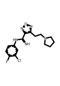 N=C(Nc1ccc(F)c(Cl)c1)c1nonc1CCN1CCCC1